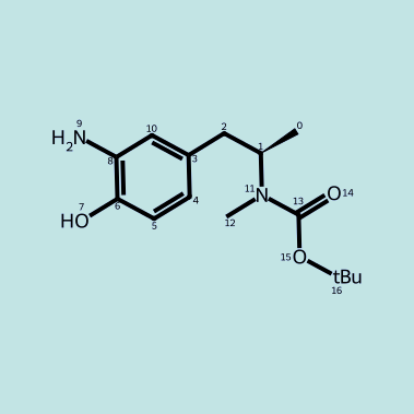 C[C@H](Cc1ccc(O)c(N)c1)N(C)C(=O)OC(C)(C)C